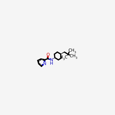 CC(C)(C)C[C@H]1CC[C@H](NC(=O)c2ccccn2)CC1